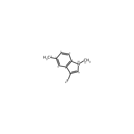 Cc1ccc2c(c1)c(F)cn2C